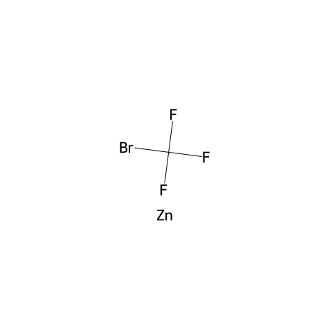 FC(F)(F)Br.[Zn]